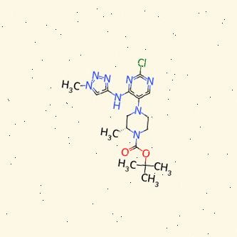 C[C@@H]1CN(c2cnc(Cl)nc2Nc2cn(C)nn2)CCN1C(=O)OC(C)(C)C